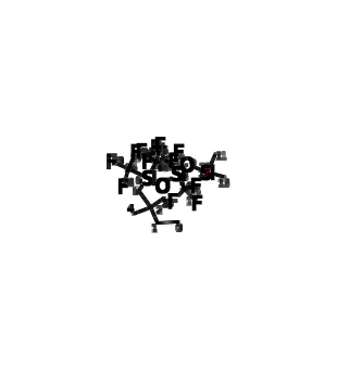 CCC(C)(C)C[Si](O[Si](O[Si](C)(C)C)(C(F)(F)F)C(F)(F)F)(C(F)(F)F)C(F)(F)F